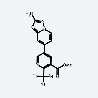 [2H]C([2H])([2H])c1ncc(-c2ccn3nc(N)nc3c2)cc1C(=O)OC